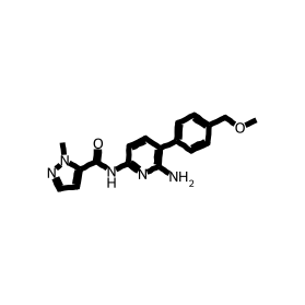 COCc1ccc(-c2ccc(NC(=O)c3ccnn3C)nc2N)cc1